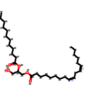 CCCCC/C=C\C/C=C\CCCCCCCC(=O)OCC(CO)OC(=O)CCCCCCCCCCC